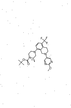 COc1ncc(N2CCc3c(C(F)(F)F)ccc(N4CCN(C(=O)OC(C)(C)C)[C@H](C)C4)c3C2)cn1